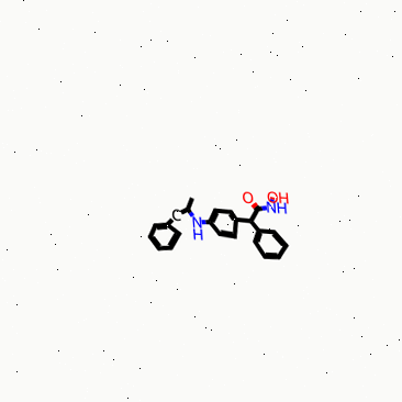 CC(Cc1ccccc1)Nc1ccc(C(C(=O)NO)c2ccccc2)cc1